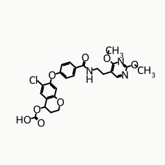 COc1ncc(CCNC(=O)c2ccc(Oc3cc4c(cc3Cl)C(OC(=O)O)CCO4)cc2)c(OC)n1